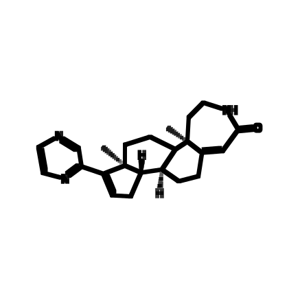 C[C@]12CCNC(=O)C=C1CC[C@@H]1C2CC[C@]2(C)C(c3cnccn3)=CC[C@@H]12